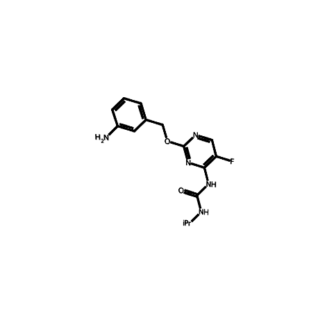 CC(C)NC(=O)Nc1nc(OCc2cccc(N)c2)ncc1F